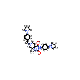 CCN1C(=O)N(c2ccc(N3CCCC3)cc2)C(=O)C12CCN(Cc1ccc(N3CCCC3)cc1)CC2